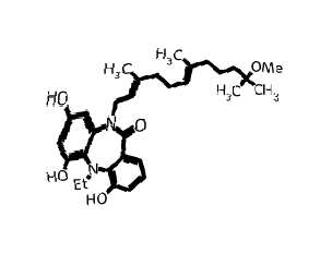 CCN1c2c(O)cccc2C(=O)N(C/C=C(\C)CC/C=C(\C)CCCC(C)(C)OC)c2cc(O)cc(O)c21